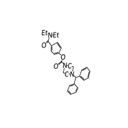 CCN(CC)C(=O)c1ccc(OC(=O)N2CCN(C(c3ccccc3)c3ccccc3)CC2)cc1